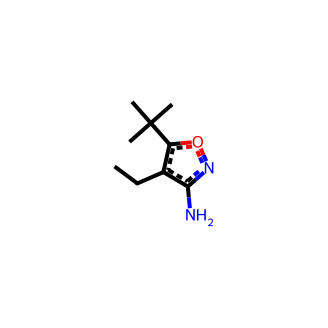 CCc1c(N)noc1C(C)(C)C